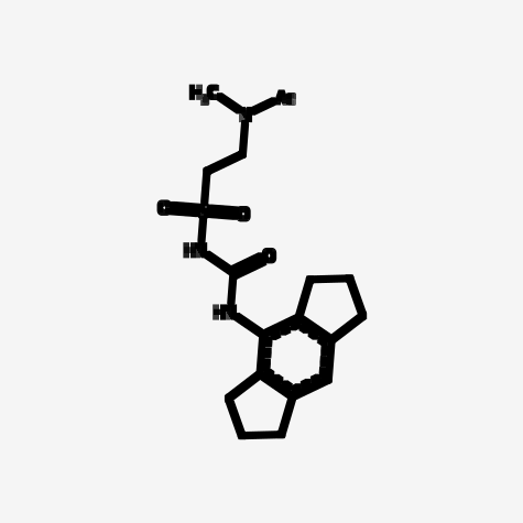 CC(=O)N(C)CCS(=O)(=O)NC(=O)Nc1c2c(cc3c1CCC3)CCC2